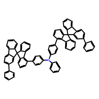 c1ccc(-c2ccc3c(c2)C2(c4ccccc4-3)c3ccccc3-c3c(-c4ccc(N(c5ccccc5)c5ccc(-c6cccc7c6-c6ccccc6C76c7ccccc7-c7ccc(-c8ccccc8)cc76)cc5)cc4)cccc32)cc1